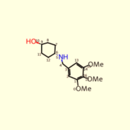 COc1cc(CN[C@H]2CC[C@H](O)CC2)cc(OC)c1OC